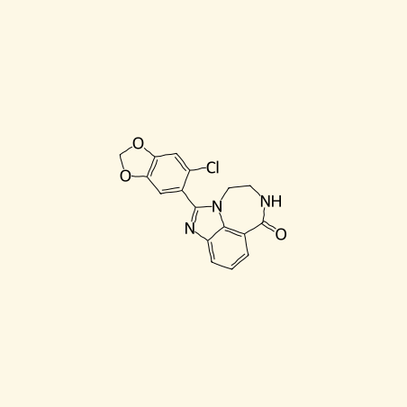 O=C1NCCn2c(-c3cc4c(cc3Cl)OCO4)nc3cccc1c32